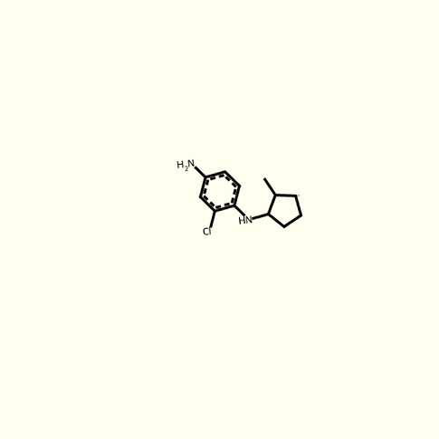 CC1[CH]CCC1Nc1ccc(N)cc1Cl